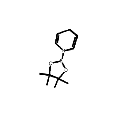 CC1(C)OB(N2C=CCC=C2)OC1(C)C